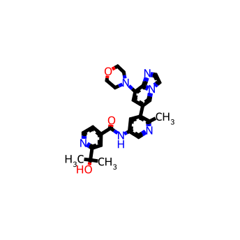 Cc1ncc(NC(=O)c2ccnc(C(C)(C)O)c2)cc1-c1cc(N2CCOCC2)c2nccn2c1